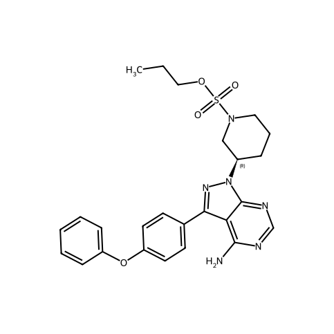 CCCOS(=O)(=O)N1CCC[C@@H](n2nc(-c3ccc(Oc4ccccc4)cc3)c3c(N)ncnc32)C1